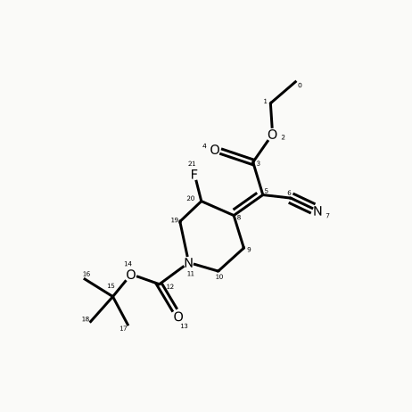 CCOC(=O)C(C#N)=C1CCN(C(=O)OC(C)(C)C)CC1F